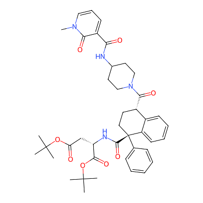 Cn1cccc(C(=O)NC2CCN(C(=O)[C@H]3CC[C@@](C(=O)N[C@@H](CC(=O)OC(C)(C)C)C(=O)OC(C)(C)C)(c4ccccc4)c4ccccc43)CC2)c1=O